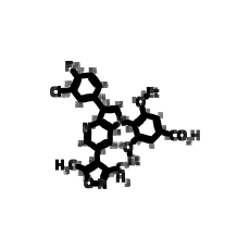 CCOc1cc(C(=O)O)cc(OCC)c1-n1cc(-c2ccc(F)c(Cl)c2)c2ncc(-c3c(C)noc3C)cc21